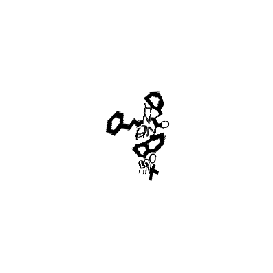 CC(C)(C)NS(=O)(=O)c1cccc2c(NC(=O)[C@H](Cc3ccccc3)NC(=O)CCc3ccccc3)cccc12